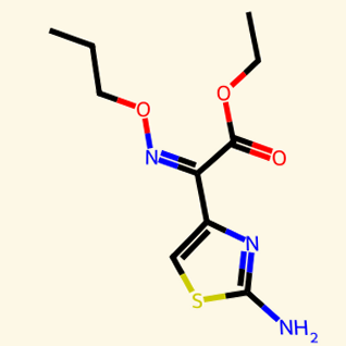 CCCON=C(C(=O)OCC)c1csc(N)n1